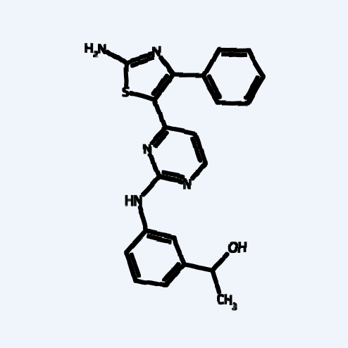 CC(O)c1cccc(Nc2nccc(-c3sc(N)nc3-c3ccccc3)n2)c1